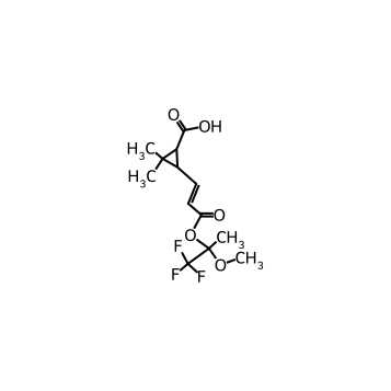 COC(C)(OC(=O)C=CC1C(C(=O)O)C1(C)C)C(F)(F)F